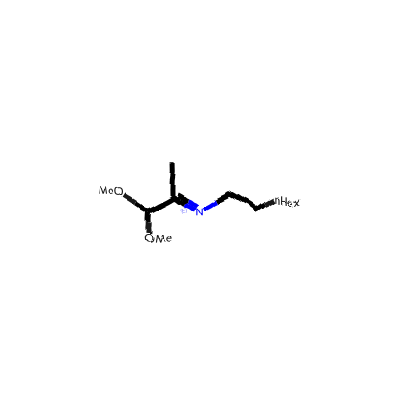 CCCCCCCC/N=C(\C)C(OC)OC